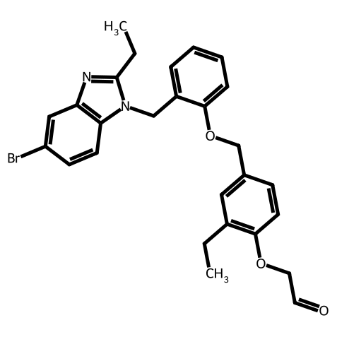 CCc1cc(COc2ccccc2Cn2c(CC)nc3cc(Br)ccc32)ccc1OCC=O